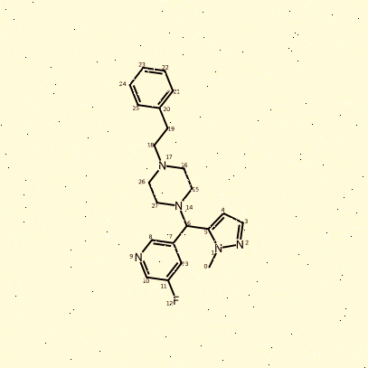 Cn1nccc1C(c1cncc(F)c1)N1CCN(CCc2ccccc2)CC1